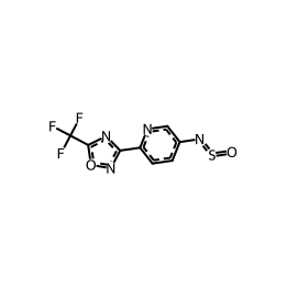 O=S=Nc1ccc(-c2noc(C(F)(F)F)n2)nc1